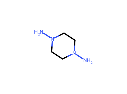 NN1CCN(N)CC1